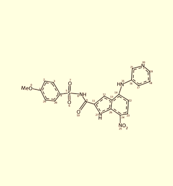 COc1ccc(S(=O)(=O)NC(=O)c2cc3c(Nc4cccnc4)ccc([N+](=O)[O-])c3[nH]2)cc1